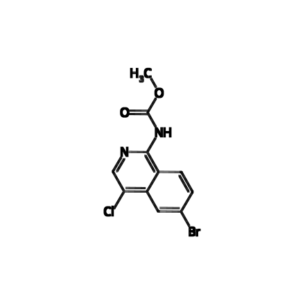 COC(=O)Nc1ncc(Cl)c2cc(Br)ccc12